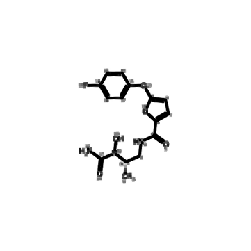 C[C@@H](CNC(=O)c1ccc(Oc2ccc(F)cc2)o1)N(O)C(N)=O